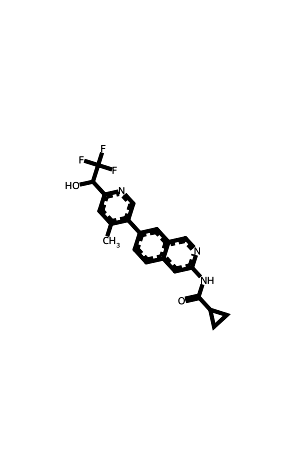 Cc1cc(C(O)C(F)(F)F)ncc1-c1ccc2cc(NC(=O)C3CC3)ncc2c1